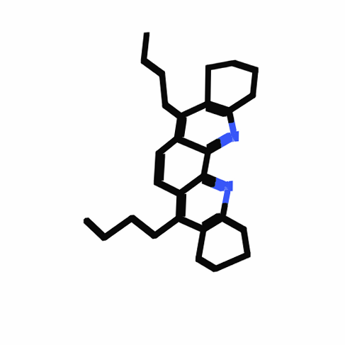 CCCCc1c2c(nc3c1ccc1c(CCCC)c4c(nc13)CCCC4)CCCC2